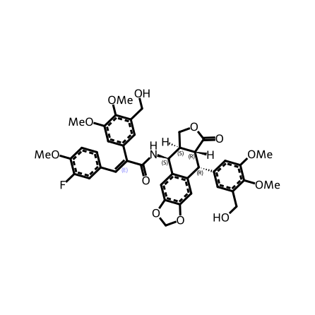 COc1ccc(/C=C(/C(=O)N[C@@H]2c3cc4c(cc3[C@@H](c3cc(CO)c(OC)c(OC)c3)[C@H]3C(=O)OC[C@@H]32)OCO4)c2cc(CO)c(OC)c(OC)c2)cc1F